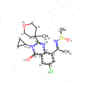 CC(=N[S@+]([O-])C(C)(C)C)c1cc(Cl)cc2c(=O)n(C3CC3)c(C3(C)CCOCC3)nc12